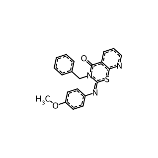 COc1ccc(N=c2sc3ncccc3c(=O)n2Cc2ccccc2)cc1